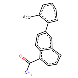 CC(=O)Oc1ccccc1-c1ccc2c(C(N)=O)cccc2c1